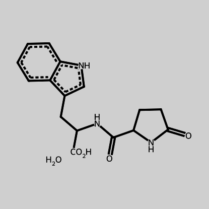 O.O=C1CCC(C(=O)NC(Cc2c[nH]c3ccccc23)C(=O)O)N1